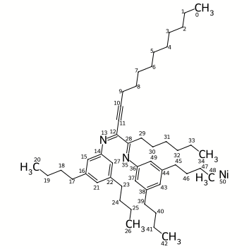 CCCCCCCCCCC#CC(=Nc1cc(CCCC)cc(CCCC)c1)C(CCCCCC)=Nc1cc(CCCC)cc(CCCC)c1.[Ni]